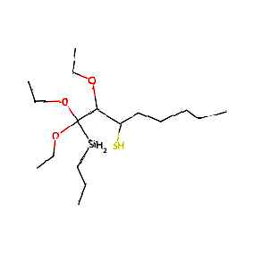 CCCCCC(S)C(OCC)C(OCC)(OCC)[SiH2]CCC